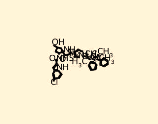 CC(C)(CO[Si](c1ccccc1)(c1ccccc1)C(C)(C)C)N1CCc2nc(C(=O)C3(N)CC(CO)CC3NC(=O)c3cc4cc(Cl)ccc4[nH]3)sc2C1